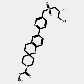 C[C@H](CO)CS(=O)(=O)Cc1ccc(-c2ccc3c(c2)CCC2(CCN(C(=O)OC(C)(C)C)CC2)O3)nc1